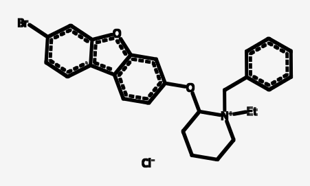 CC[N+]1(Cc2ccccc2)CCCCC1Oc1ccc2c(c1)oc1cc(Br)ccc12.[Cl-]